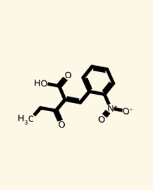 CCC(=O)C(=Cc1ccccc1[N+](=O)[O-])C(=O)O